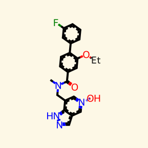 CCOc1cc(C(=O)N(C)Cc2c[n+](O)cc3cn[nH]c23)ccc1-c1cccc(F)c1